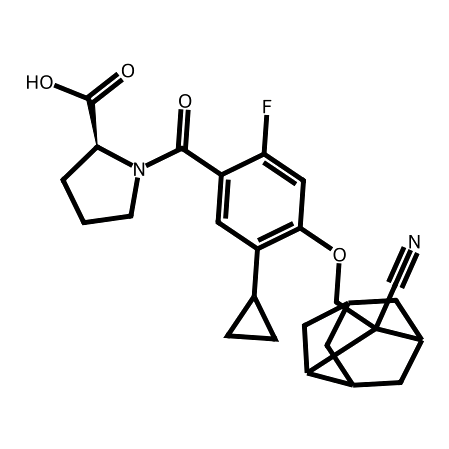 N#CC1(COc2cc(F)c(C(=O)N3CCC[C@H]3C(=O)O)cc2C2CC2)C2CC3CC(C2)C1C3